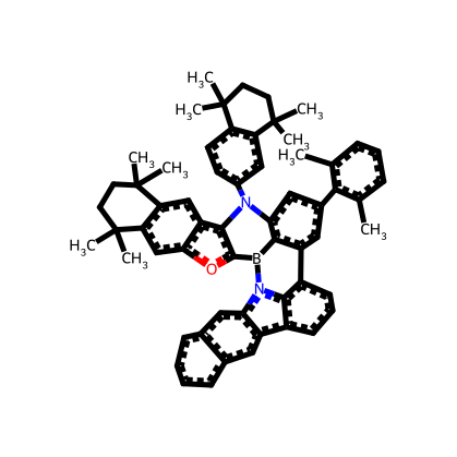 Cc1cccc(C)c1-c1cc2c3c(c1)N(c1ccc4c(c1)C(C)(C)CCC4(C)C)c1c(oc4cc5c(cc14)C(C)(C)CCC5(C)C)B3n1c3cc4ccccc4cc3c3cccc-2c31